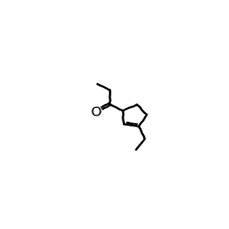 CCC(=O)C1C=C(CC)CC1